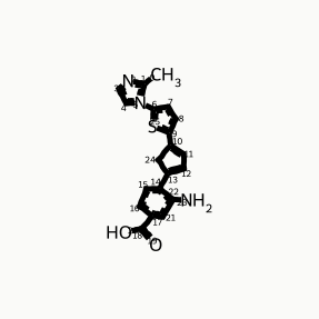 Cc1nccn1-c1ccc(C2=CC=C(c3ccc(C(=O)O)cc3N)C2)s1